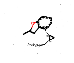 CC(=O)NC[C@@H]1C[C@H]1c1cccc2c1CC(C)O2